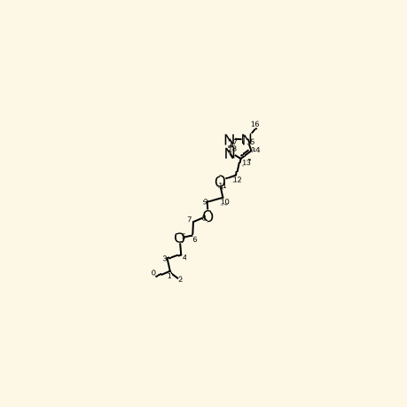 CC(C)CCOCCOCCOCc1cn(C)nn1